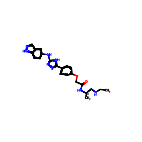 CCNC[C@@H](C)NC(=O)COc1ccc(-c2nnc(Nc3ccc4[nH]ncc4c3)[nH]2)cc1